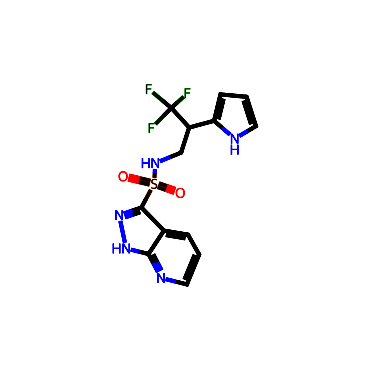 O=S(=O)(NCC(c1ccc[nH]1)C(F)(F)F)c1n[nH]c2ncccc12